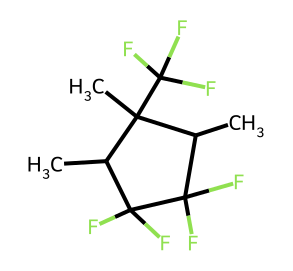 CC1C(F)(F)C(F)(F)C(C)C1(C)C(F)(F)F